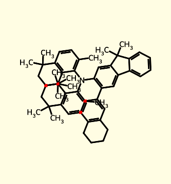 Cc1ccc2c(c1N(c1cc3c(cc1-c1ccc4c(c1)CCCC4)-c1ccccc1C3(C)C)c1c(C)ccc3c1C(C)(C)CCC3(C)C)C(C)(C)CCC2(C)C